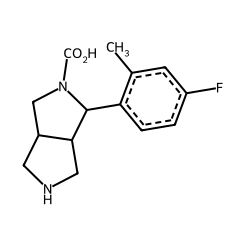 Cc1cc(F)ccc1C1C2CNCC2CN1C(=O)O